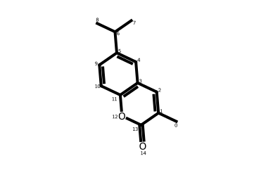 Cc1cc2cc(C(C)C)ccc2oc1=O